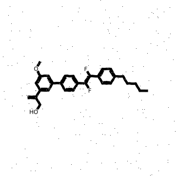 C=C(CO)c1cc(OC)cc(-c2ccc(/C(F)=C(\F)c3ccc(CCCCC)cc3)cc2)c1